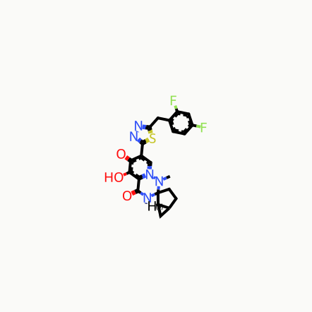 CN1C(=O)c2c(O)c(=O)c(-c3nnc(Cc4ccc(F)cc4F)s3)cn2N(C)C12CCC1C[C@@H]12